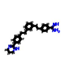 N=C(N)c1ccc(CCc2cccc(CCc3ccc(C4=NCCCN4)cc3)c2)cc1